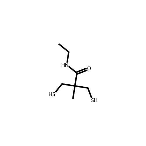 CCNC(=O)C(C)(CS)CS